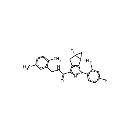 Cc1ccc(C)c(CNC(=O)c2nn(-c3ccc(F)cc3F)c3c2C[C@H]2C[C@@H]32)c1